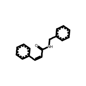 O=C(/C=C\c1ccccc1)NCc1ccccc1